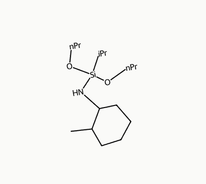 CCCO[Si](NC1CCCCC1C)(OCCC)C(C)C